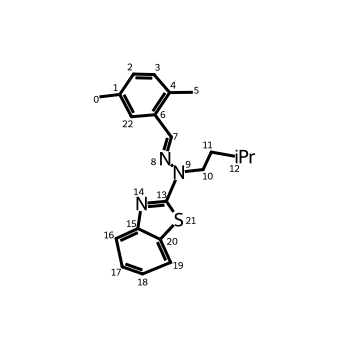 Cc1ccc(C)c(/C=N/N(CCC(C)C)c2nc3ccccc3s2)c1